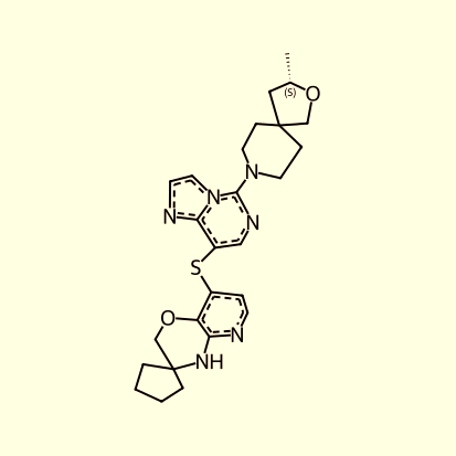 C[C@H]1CC2(CCN(c3ncc(Sc4ccnc5c4OCC4(CCCC4)N5)c4nccn34)CC2)CO1